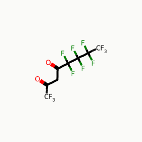 O=C(CC(=O)C(F)(F)C(F)(F)C(F)(F)C(F)(F)F)C(F)(F)F